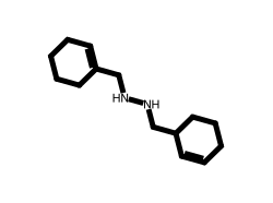 C1=CC(CNNCC2=CCCCC2)CCC1